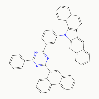 C1=CC2C=Cc3c(n(-c4cccc(-c5nc(-c6ccccc6)nc(-c6cc7ccccc7c7ccccc67)n5)c4)c4cc5ccccc5cc34)C2C=C1